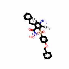 Cc1c(N)c(C)c(S(=O)(=O)c2ccc(OCc3ccccc3)cc2)c(C(=O)NO)c1Cc1ccccc1